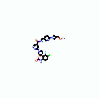 COCC1CN(c2ccc(CNC(=O)c3cnnc(N4CC[C@]5(C4)OC(=O)Nc4ccc(Cl)c(F)c45)c3)cn2)C1